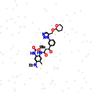 CCN(C)c1cc(NC(=O)OC(C)(C)C)c(NC(=O)CC(=O)c2cccc(-n3nncc3COC3CCCCO3)c2)cc1C